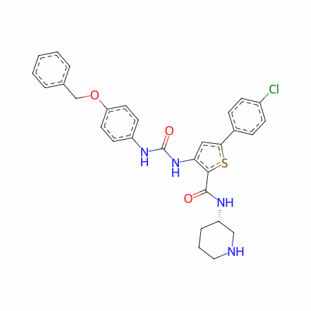 O=C(Nc1ccc(OCc2ccccc2)cc1)Nc1cc(-c2ccc(Cl)cc2)sc1C(=O)N[C@H]1CCCNC1